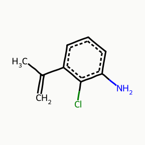 C=C(C)c1cccc(N)c1Cl